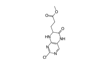 COC(=O)CCC1Nc2nc(Cl)ncc2NC1=O